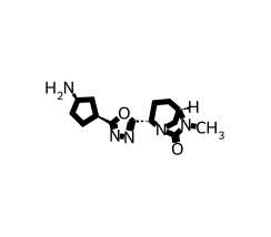 CN1C(=O)N2C[C@H]1CC[C@H]2c1nnc([C@H]2CC[C@@H](N)C2)o1